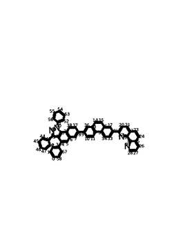 c1ccc(-c2cc3cc(-c4ccc5c(ccc6cc(-c7ccc8ccc9cccnc9c8n7)ccc65)c4)ccc3c3c2c(-c2ccccc2)nn3-c2ccccc2)cc1